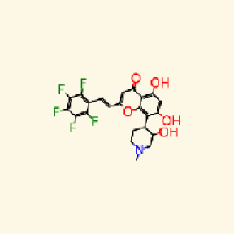 CN1CCC(c2c(O)cc(O)c3c(=O)cc(C=Cc4c(F)c(F)c(F)c(F)c4F)oc23)C(O)C1